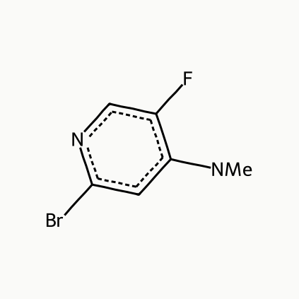 CNc1cc(Br)ncc1F